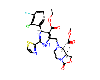 CCOC(=O)C1=C(CN2CCN3C(=O)OC[C@@H]3[C@H]2C(=O)OC)NC(c2nccs2)=N[C@H]1c1cccc(F)c1Cl